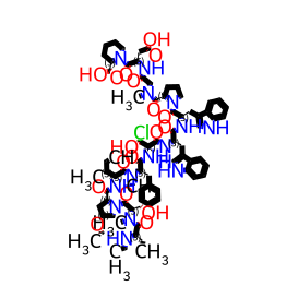 CCN[C@@H](CC)C(=O)N(C)[C@@H](CO)C(=O)N1C[C@H](OCC)C[C@H]1C(=O)N[C@H](C(=O)N(C)[C@@H](Cc1ccccc1)C(=O)N[C@H](C(=O)N[C@@H](Cc1c[nH]c2ccccc12)C(=O)N[C@@H](Cc1c[nH]c2ccccc12)C(=O)N1CCC[C@H]1C(=O)N(C)CC(=O)N[C@@H](CC(=O)O)C(=O)N1CCCC[C@H]1C(=O)O)C(O)Cl)[C@@H](C)CC